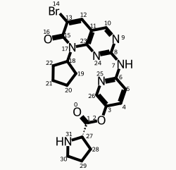 O=C(Oc1ccc(Nc2ncc3cc(Br)c(=O)n(C4CCCC4)c3n2)nc1)[C@@H]1CCCN1